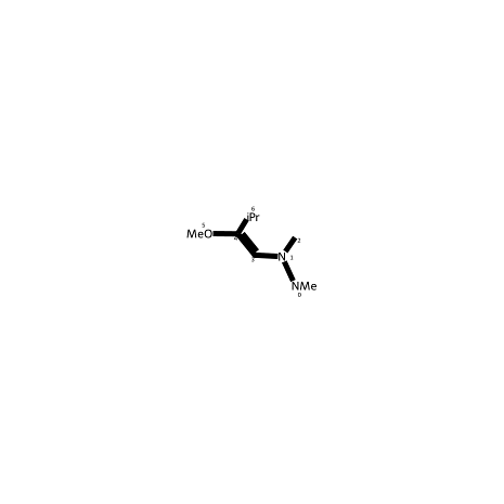 CNN(C)/C=C(/OC)C(C)C